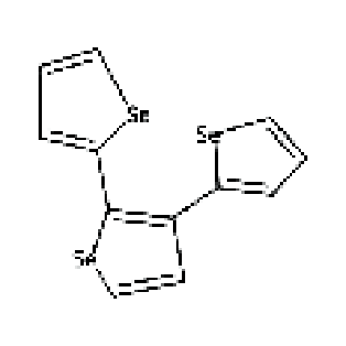 c1c[se]c(-c2cc[se]c2-c2ccc[se]2)c1